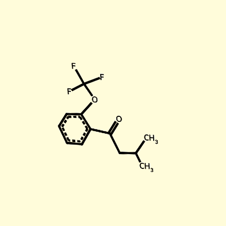 CC(C)CC(=O)c1ccccc1OC(F)(F)F